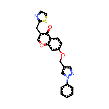 O=c1c(Cc2nccs2)coc2cc(OCc3cnn(-c4ccccc4)c3)ccc12